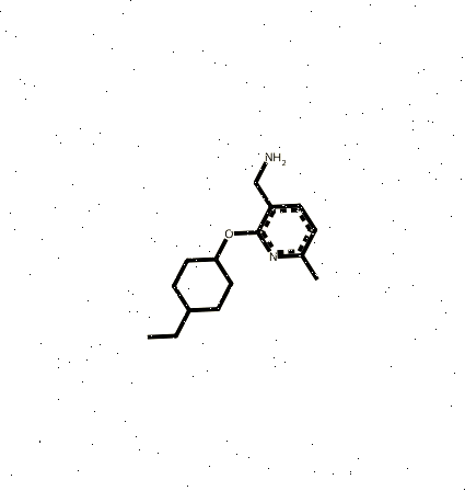 CCC1CCC(Oc2nc(C)ccc2CN)CC1